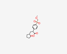 COCS(=O)(=O)c1ccc(C(CC2CCCC2)C(=O)O)cc1